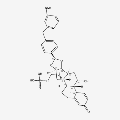 CNc1cccc(Cc2ccc([C@@H]3O[C@@H]4C[C@H]5[C@@H]6CCC7=CC(=O)C=C[C@]7(C)[C@H]6[C@@H](O)C[C@]5(C)[C@]4(C(=O)COP(=O)(O)O)O3)cc2)c1